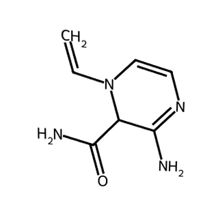 C=CN1C=CN=C(N)C1C(N)=O